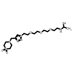 CC(S)NCCOCCOCCOCCn1cc(CN2CCS(=O)(=O)CC2)nn1